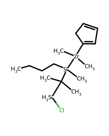 CCCC[Si](C)(C(C)(C)[SiH2]Cl)[Zr]([CH3])([CH3])[C]1=CC=CC1